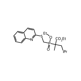 CCOC(=O)C(C)(CC(C)C)P(=O)(CSc1ccc2ccccc2n1)OCC